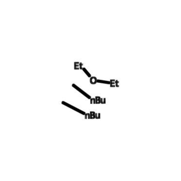 CCCCC.CCCCC.CCOCC